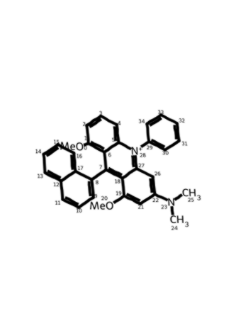 COc1cccc2c1c(-c1cccc3ccccc13)c1c(OC)cc(N(C)C)cc1[n+]2-c1ccccc1